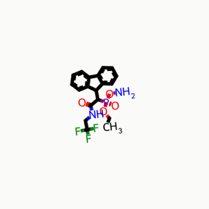 CCOP(=O)(ON)C(C(=O)NCC(F)(F)F)C1c2ccccc2-c2ccccc21